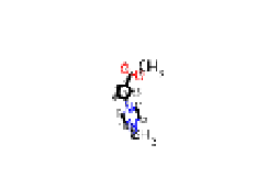 COC(=O)C1CCC(N2CCN(C)CC2)C1